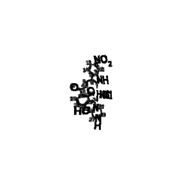 Cl.Cl.O=C1/C(=C/c2c[nH]c3cc([N+](=O)[O-])ccc23)Oc2c1ccc(O)c2CN1CCNCC1